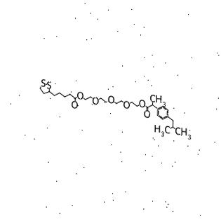 CC(C)Cc1ccc(C(C)C(=O)OCCOCCOCCOCCOC(=O)CCCCC2CCSS2)cc1